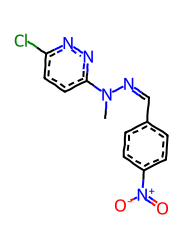 CN(/N=C\c1ccc([N+](=O)[O-])cc1)c1ccc(Cl)nn1